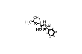 CC(C)SCC(O)NS(=O)(=O)c1ccccc1